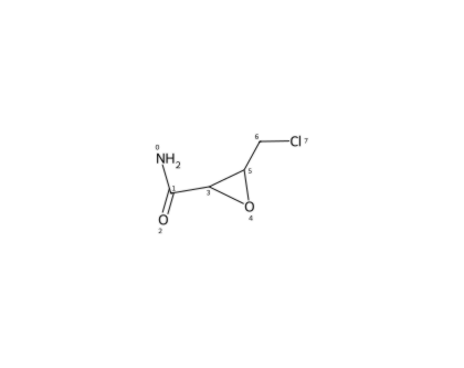 NC(=O)C1OC1CCl